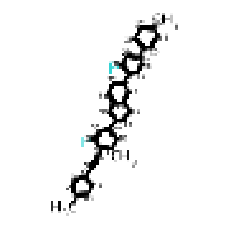 Cc1ccc(C#Cc2c(C)cc(-c3ccc4cc(-c5ccc(-c6ccc(C)cc6)cc5F)ccc4c3)cc2F)cc1